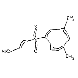 Cc1cc(C)cc(S(=O)(=O)/C=C/C#N)c1